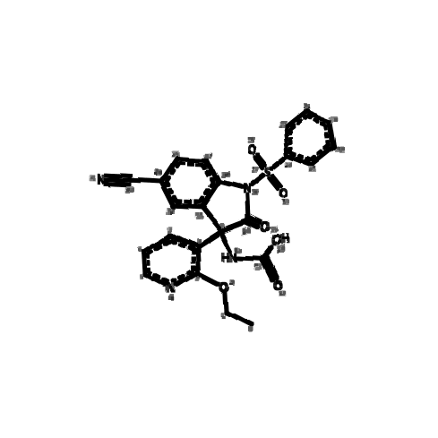 CCOc1ncccc1C1(NC(=O)O)C(=O)N(S(=O)(=O)c2ccccc2)c2ccc(C#N)cc21